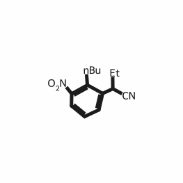 CCCCc1c(C(C#N)CC)cccc1[N+](=O)[O-]